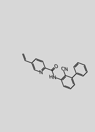 C=Cc1ccc(C(=O)Nc2cccc(-c3ccccc3)c2C#N)nc1